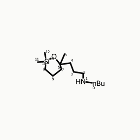 CCCCNCCCC1(C)CCC[Si](C)(C)O1